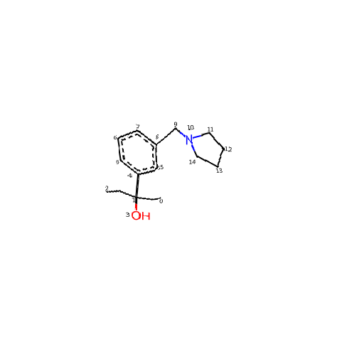 CC(C)(O)c1cccc(CN2CCCC2)c1